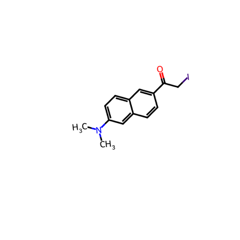 CN(C)c1ccc2cc(C(=O)CI)ccc2c1